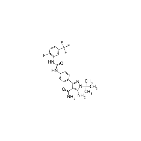 CC(C)(C)n1nc(-c2ccc(NC(=O)Nc3cc(C(F)(F)F)ccc3F)cc2)c(C(N)=O)c1N